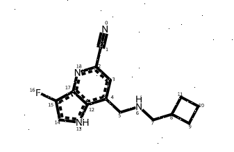 N#Cc1cc(CNCC2CCC2)c2[nH]cc(F)c2n1